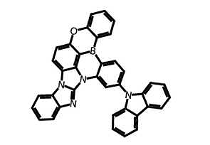 c1ccc2c(c1)Oc1ccc3c4c1B2c1ccc(-n2c5ccccc5c5ccccc52)cc1-n4c1nc2ccccc2n31